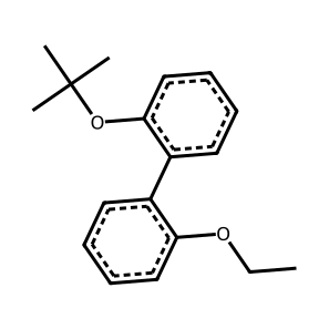 CCOc1ccccc1-c1ccccc1OC(C)(C)C